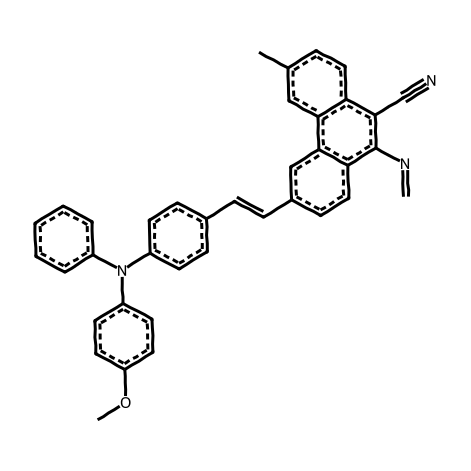 C=Nc1c(C#N)c2ccc(C)cc2c2cc(C=Cc3ccc(N(c4ccccc4)c4ccc(OC)cc4)cc3)ccc12